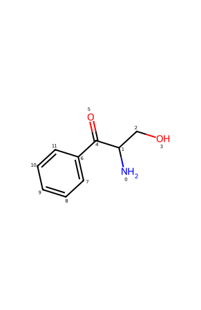 NC(CO)C(=O)c1ccccc1